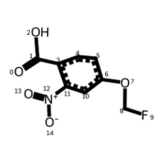 O=C(O)c1ccc(OCF)cc1[N+](=O)[O-]